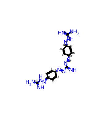 N=C(N=NC1C=CC(=NNC(=N)N)C=C1)N=NC1C=CC(=NNC(=N)N)C=C1